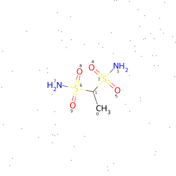 CC(S(N)(=O)=O)S(N)(=O)=O